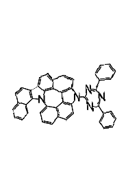 c1ccc(-c2nc(-c3ccccc3)nc(-n3c4ccc5cccc6c5c4c4c5c(ccc7c8ccc9ccccc9c8n6c75)ccc43)n2)cc1